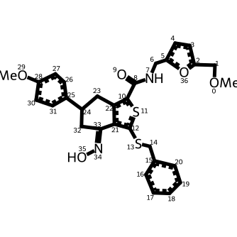 COCc1ccc(CNC(=O)c2sc(SCc3ccccc3)c3c2CC(c2ccc(OC)cc2)C/C3=N\O)o1